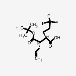 C=CC[C@H](C(=O)OC(C)(C)C)[C@@H](CCC(F)(F)F)C(=O)O